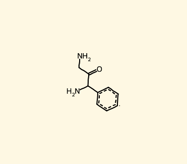 NCC(=O)C(N)c1cc[c]cc1